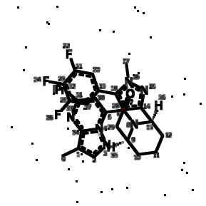 Cc1cnn2c(C(=O)N3[C@H]4CCC[C@@H]3c3nn(C)c(-c5cc(F)c(F)c(F)c5)c3C4)cc(C(C)C)nc12